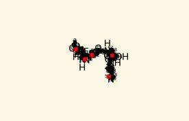 CCCS(=O)(=O)Nc1ccc(F)c(-c2c[nH]c3ncc(N4CCN(C(=O)CCCN[C@H](C(=O)N5C[C@H](O)C[C@H]5C(=O)NCc5ccc(-c6scnc6C)cc5)C(C)(C)C)CC4)cc23)c1F